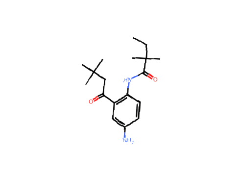 CCC(C)(C)C(=O)Nc1ccc(N)cc1C(=O)CC(C)(C)C